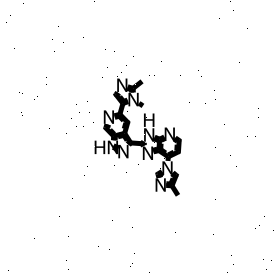 Cc1cn(-c2ccnc3[nH]c(-c4n[nH]c5cnc(-c6cnc(C)n6C)cc45)nc23)cn1